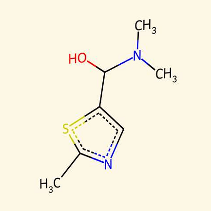 Cc1ncc(C(O)N(C)C)s1